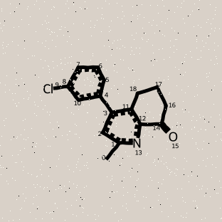 Cc1cc(-c2cccc(Cl)c2)c2c(n1)C(=O)CCC2